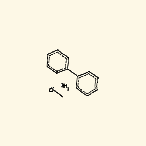 B.CCl.c1ccc(-c2ccccc2)cc1